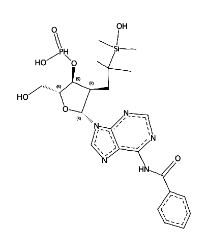 CC(C)(C[C@@H]1[C@H](O[PH](=O)O)[C@@H](CO)O[C@H]1n1cnc2c(NC(=O)c3ccccc3)ncnc21)[Si](C)(C)O